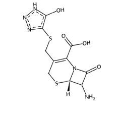 NC1C(=O)N2C(C(=O)O)=C(CSc3nn[nH]c3O)CS[C@@H]12